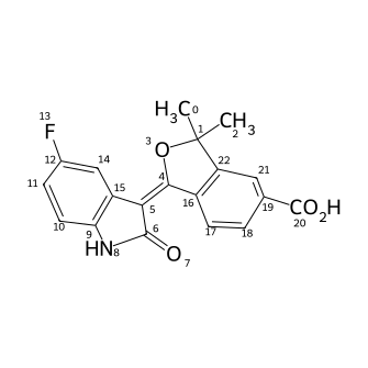 CC1(C)OC(=C2C(=O)Nc3ccc(F)cc32)c2ccc(C(=O)O)cc21